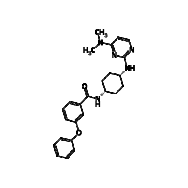 CN(C)c1ccnc(N[C@H]2CC[C@@H](NC(=O)c3cccc(Oc4ccccc4)c3)CC2)n1